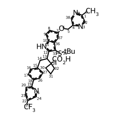 Cc1cnc(COc2ccc3[nH]c(C(Cc4ccc(-c5ccc(C(F)(F)F)cn5)cc4)C4(C(=O)O)CCC4)c(SC(C)(C)C)c3c2)cn1